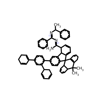 CC(/N=C(\N=C(/N)C1C=CC=C2C1c1cc(-c3ccc(C4=CCCC=C4)cc3C3C=CC=CC3)ccc1C21C2=C(CCC=C2)C(C)(C)C2C=CC=CC21)c1ccccc1)c1ccccc1